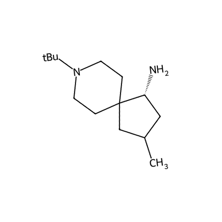 CC1C[C@@H](N)C2(CCN(C(C)(C)C)CC2)C1